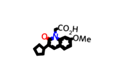 COc1ccc2cc(C3CCCC3)c(=O)n(CC(=O)O)c2c1